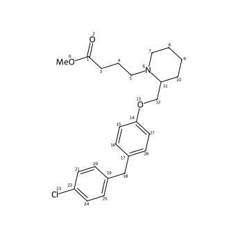 COC(=O)CCCN1CCCCC1COc1ccc(Cc2ccc(Cl)cc2)cc1